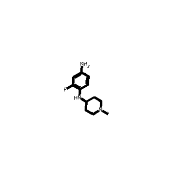 CN1CCC(Nc2ccc(N)cc2F)CC1